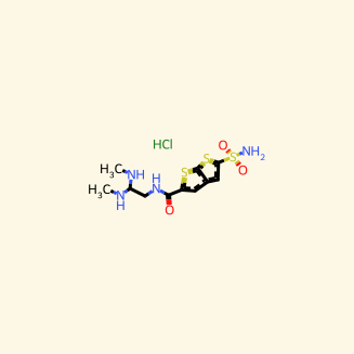 CNC(CNC(=O)c1cc2cc(S(N)(=O)=O)sc2s1)NC.Cl